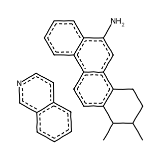 CC1CCc2c(ccc3c2cc(N)c2ccccc23)C1C.c1ccc2cnccc2c1